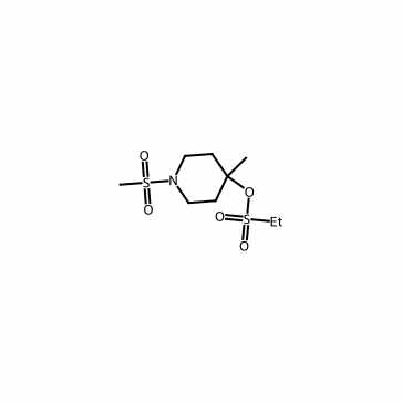 CCS(=O)(=O)OC1(C)CCN(S(C)(=O)=O)CC1